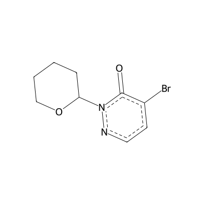 O=c1c(Br)ccnn1C1CCCCO1